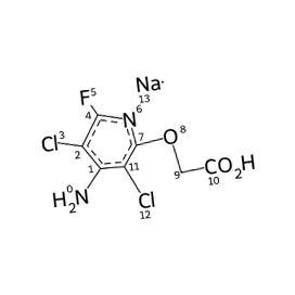 Nc1c(Cl)c(F)nc(OCC(=O)O)c1Cl.[Na]